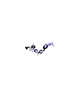 Nc1cc(CN2CCC(C(=O)N3CCC(Nc4ccc(F)cc4NCC4CC4)CC3)CC2)ccn1